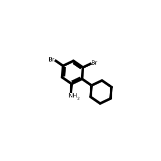 Nc1cc(Br)cc(Br)c1C1CCCCC1